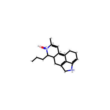 CCCC1C2CC3=C4C(=CCCC4=C2C=C(C)[N+]1=O)NC3